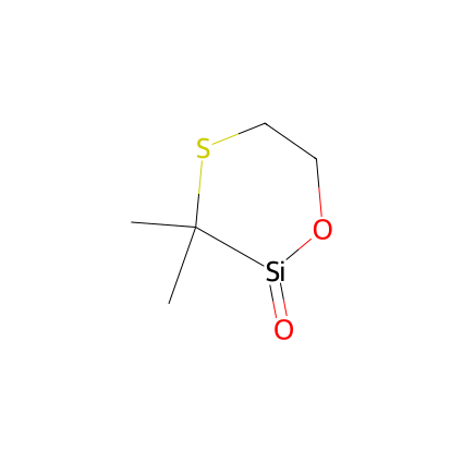 CC1(C)SCCO[Si]1=O